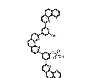 O=S(=O)(O)Oc1cc(-c2ccc3ccc4cccnc4c3n2)cc(-c2ccc3ccc4ccc(-c5cc(O)cc(-c6ccc7ccc8cccnc8c7n6)c5)nc4c3n2)c1